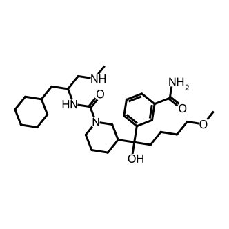 CNCC(CC1CCCCC1)NC(=O)N1CCCC(C(O)(CCCCOC)c2cccc(C(N)=O)c2)C1